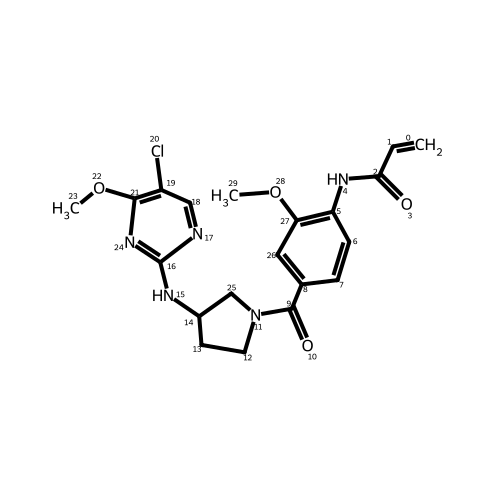 C=CC(=O)Nc1ccc(C(=O)N2CCC(Nc3ncc(Cl)c(OC)n3)C2)cc1OC